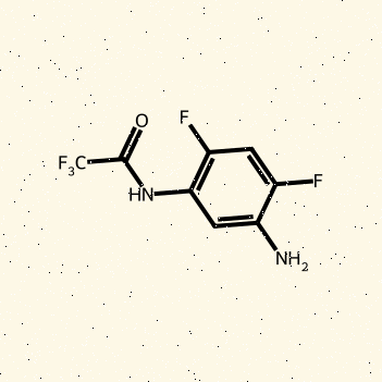 Nc1cc(NC(=O)C(F)(F)F)c(F)cc1F